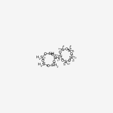 C[Si]1(C)O[Si](C)(C)O[Si](C)(C)O[Si](C)(C)O[Si](C)(C)O1.O1[SiH2]O[SiH2]O[SiH2]O[SiH2]O[SiH2]1